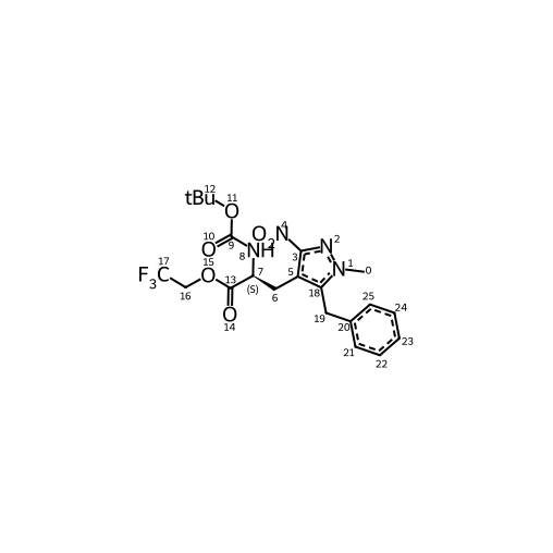 Cn1nc([N+](=O)[O-])c(C[C@H](NC(=O)OC(C)(C)C)C(=O)OCC(F)(F)F)c1Cc1ccccc1